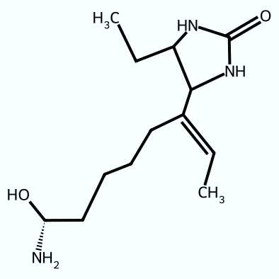 C/C=C(\CCCC[C@H](N)O)C1NC(=O)NC1CC